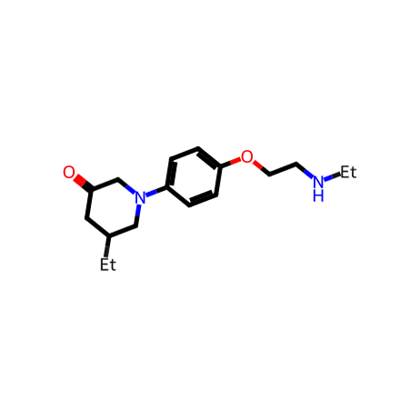 CCNCCOc1ccc(N2CC(=O)CC(CC)C2)cc1